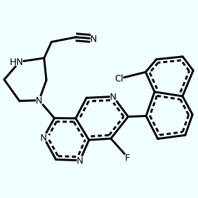 N#CCC1CN(c2ncnc3c(F)c(-c4cccc5cccc(Cl)c45)ncc23)CCN1